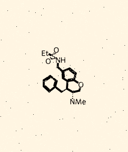 CCS(=O)(=O)NCc1ccc2c(c1)[C@H](Cc1ccccc1)[C@@H](NC)CO2